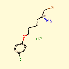 Cl.N[C@H](CS)CCCCOc1ccc(F)cc1